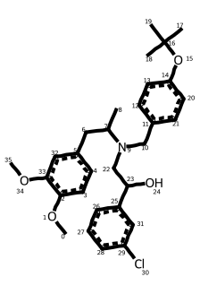 COc1ccc(CC(C)N(Cc2ccc(OC(C)(C)C)cc2)CC(O)c2cccc(Cl)c2)cc1OC